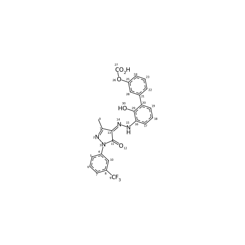 CC1=NN(c2cccc(C(F)(F)F)c2)C(=O)C1=NNc1cccc(-c2cccc(OC(=O)O)c2)c1O